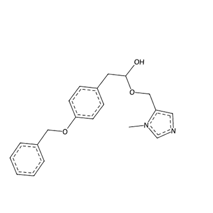 Cn1cncc1COC(O)Cc1ccc(OCc2ccccc2)cc1